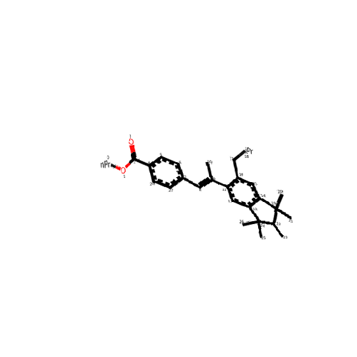 CCCOC(=O)c1ccc(C=C(C)c2cc3c(cc2CC(C)C)C(C)(C)C(C)C3(C)C)cc1